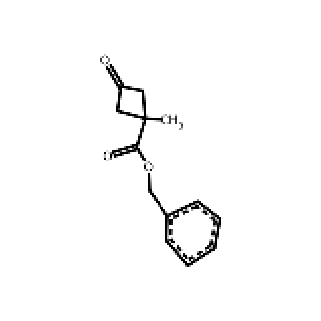 CC1(C(=O)OCc2ccccc2)CC(=O)C1